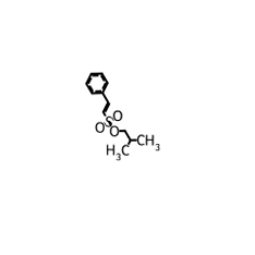 CC(C)COS(=O)(=O)C=Cc1ccccc1